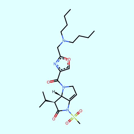 CCCCN(CCCC)Cc1nc(C(=O)N2CC=C3[C@@H]2[C@H](C(C)C)C(=O)N3S(C)(=O)=O)co1